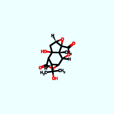 CC(C)(O)[C@@H]1C2OC(=O)C1[C@]1(O)C[C@H]3O[C@]34C(=O)O[C@H]2[C@]14C